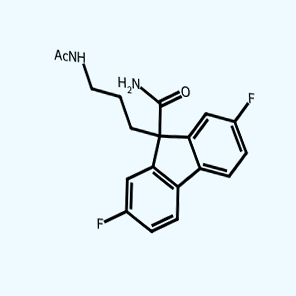 CC(=O)NCCCC1(C(N)=O)c2cc(F)ccc2-c2ccc(F)cc21